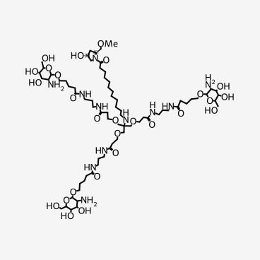 COC[C@@H]1C[C@@H](O)CN1C(=O)CCCCCCCCCCCNC(COCCC(=O)NCCCNC(=O)CCCCOC1OC(CO)C(O)C(O)C1N)(COCCC(=O)NCCCNC(=O)CCCCOC1OC(CO)C(O)C(O)C1N)COCCC(=O)NCCCNC(=O)CCCCOC1OC(CO)C(O)C(O)C1N